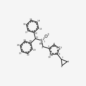 [O-][S@@+](Cc1csc(C2CC2)n1)C(c1ccccc1)c1ccccc1